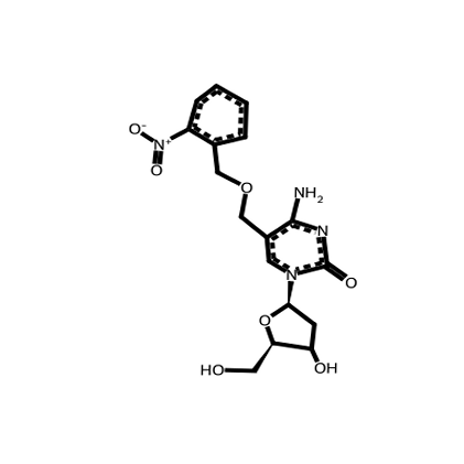 Nc1nc(=O)n([C@H]2CC(O)[C@@H](CO)O2)cc1COCc1ccccc1[N+](=O)[O-]